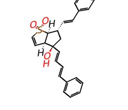 O=S1(=O)C=C[C@H]2[C@@H]1[C@H](/C=C/c1ccccc1)C[C@]2(O)/C=C/C=C/c1ccccc1